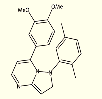 COc1ccc(C2=CC=NC3=CCN(c4cc(C)ccc4C)N32)cc1OC